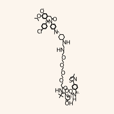 COc1cc2c(cc1OC(C)C)[C@H](c1ccc(Cl)cc1)N(c1ccc(N(C)C[C@H]3CC[C@H](NCCNCCOCCOCCOCCOCCC(=O)N[C@H](C(=O)N4C[C@H](O)C[C@H]4C(=O)N[C@@H](C)c4ccc(-c5nc(C)cs5)cc4)C(C)(C)C)CC3)cc1)C(=O)C2